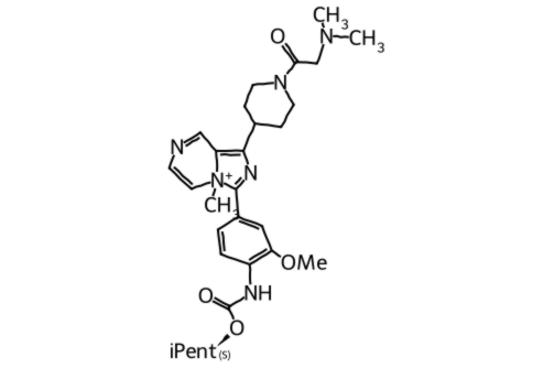 CCC[C@H](C)OC(=O)Nc1ccc(C2=NC(C3CCN(C(=O)CN(C)C)CC3)=C3C=NC=C[N+]23C)cc1OC